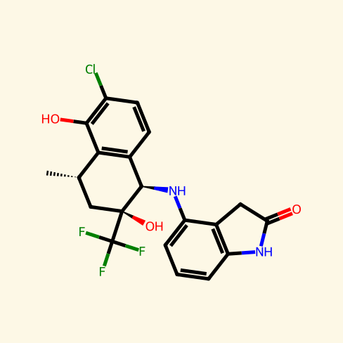 C[C@H]1C[C@@](O)(C(F)(F)F)[C@H](Nc2cccc3c2CC(=O)N3)c2ccc(Cl)c(O)c21